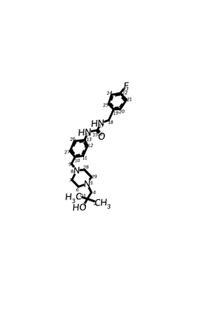 CC(C)(O)CN1CCN(Cc2ccc(NC(=O)NCc3ccc(F)cc3)cc2)CC1